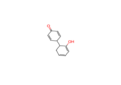 O=C1C=CC(C2CC=CC=C2O)C=C1